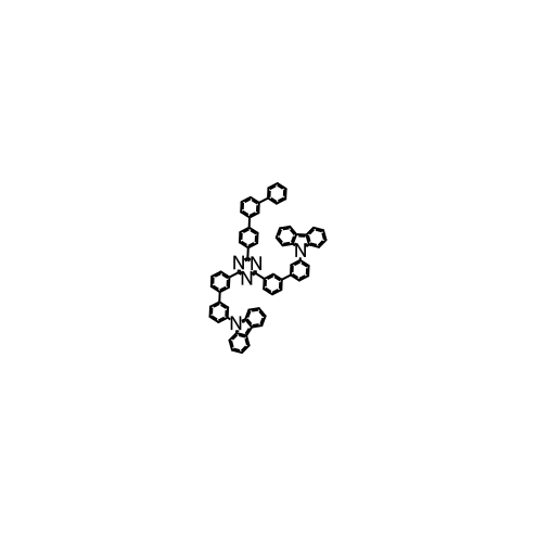 c1ccc(-c2cccc(-c3ccc(-c4nc(-c5cccc(-c6cccc(-n7c8ccccc8c8ccccc87)c6)c5)nc(-c5cccc(-c6cccc(-n7c8ccccc8c8ccccc87)c6)c5)n4)cc3)c2)cc1